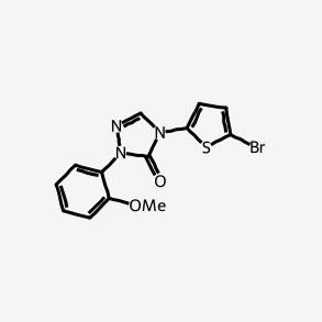 COc1ccccc1-n1ncn(-c2ccc(Br)s2)c1=O